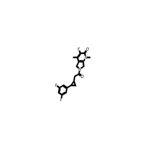 Cc1c2c(n(C)c(=O)c1F)CN(C(=O)CC1CC1c1cc(F)cc(F)c1)C2